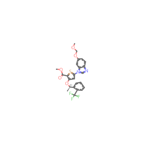 COCOc1ccc2ncn(-c3cc(O[C@H](C)c4ccccc4C(F)(F)F)c(C(=O)OC)s3)c2c1